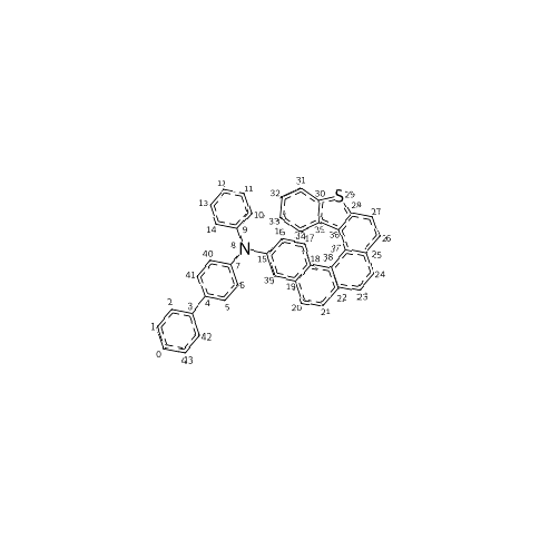 c1ccc(-c2ccc(N(c3ccccc3)c3ccc4c(ccc5ccc6ccc7sc8ccccc8c7c6c54)c3)cc2)cc1